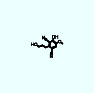 COc1cc(C#N)c(CCCO)c(C#N)c1O